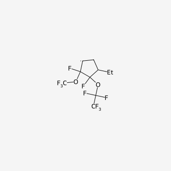 [CH2]CC1C[CH]C(F)(OC(F)(F)F)C1(F)OC(F)(F)C(F)(F)F